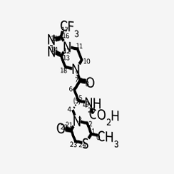 CC1CN(C[C@H](CC(=O)N2CCn3c(nnc3C(F)(F)F)C2)NC(=O)O)C(=O)CS1